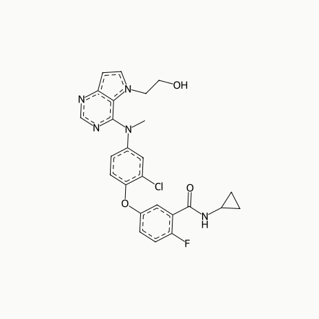 CN(c1ccc(Oc2ccc(F)c(C(=O)NC3CC3)c2)c(Cl)c1)c1ncnc2ccn(CCO)c12